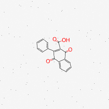 O=C(O)C1=C(c2ccccc2)C(=O)c2ccccc2C1=O